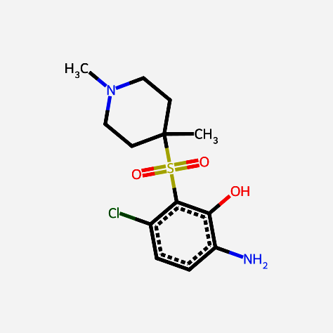 CN1CCC(C)(S(=O)(=O)c2c(Cl)ccc(N)c2O)CC1